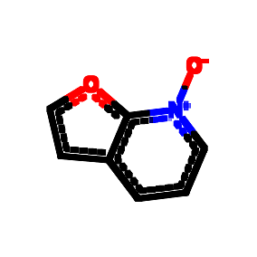 [O-][n+]1cccc2ccoc21